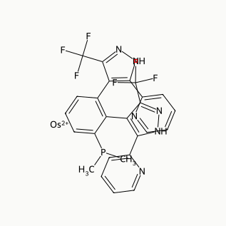 CP(C)c1cccc(-c2c(C(F)(F)F)n[nH]c2-c2ccccn2)c1-c1c(C(F)(F)F)n[nH]c1-c1ccccn1.[Os+2]